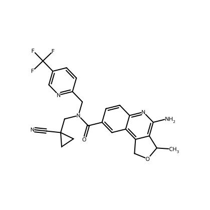 CC1OCc2c1c(N)nc1ccc(C(=O)N(Cc3ccc(C(F)(F)F)cn3)CC3(C#N)CC3)cc21